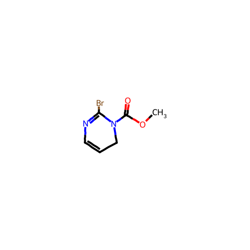 COC(=O)N1CC=CN=C1Br